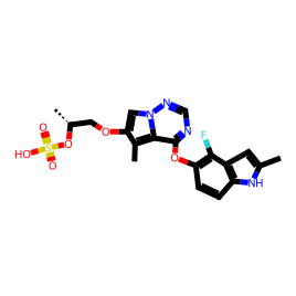 Cc1cc2c(F)c(Oc3ncnn4cc(OC[C@@H](C)OS(=O)(=O)O)c(C)c34)ccc2[nH]1